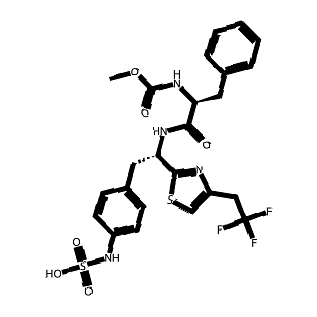 COC(=O)N[C@@H](Cc1ccccc1)C(=O)N[C@@H](Cc1ccc(NS(=O)(=O)O)cc1)c1nc(CC(F)(F)F)cs1